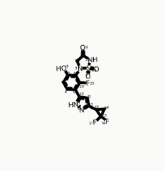 O=C1CN(c2c(O)ccc(-c3cc(C4CC4(F)F)n[nH]3)c2F)S(=O)(=O)N1